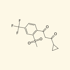 CS(=O)(=O)c1cc(C(F)(F)F)ccc1C(=O)CC(=O)C1CC1